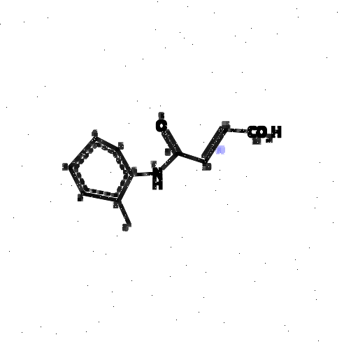 Cc1ccccc1NC(=O)/C=C/C(=O)O